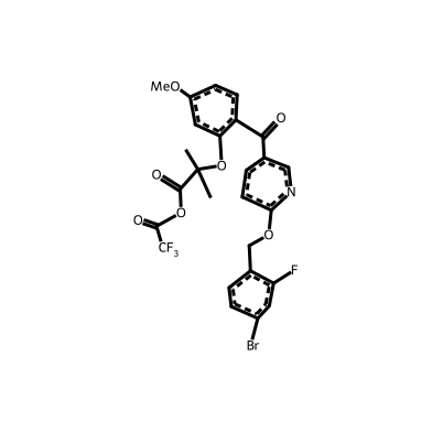 COc1ccc(C(=O)c2ccc(OCc3ccc(Br)cc3F)nc2)c(OC(C)(C)C(=O)OC(=O)C(F)(F)F)c1